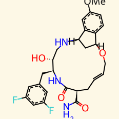 COc1ccc2c(c1)[C@@H]1C[C@@H]2OC/C=C/C[C@@H](C(N)=O)C(=O)N[C@@H](Cc2cc(F)cc(F)c2)[C@H](O)CN1